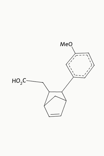 COc1cccc(C2C3C=CC(C3)C2CC(=O)O)c1